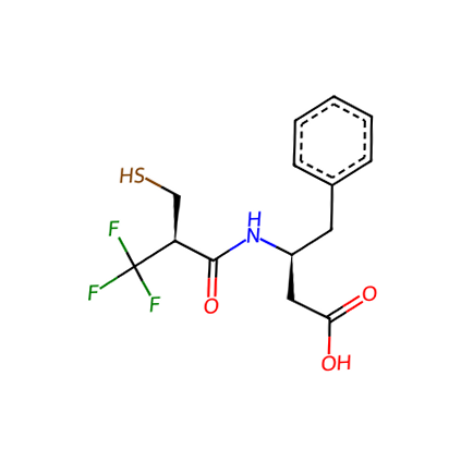 O=C(O)C[C@H](Cc1ccccc1)NC(=O)[C@H](CS)C(F)(F)F